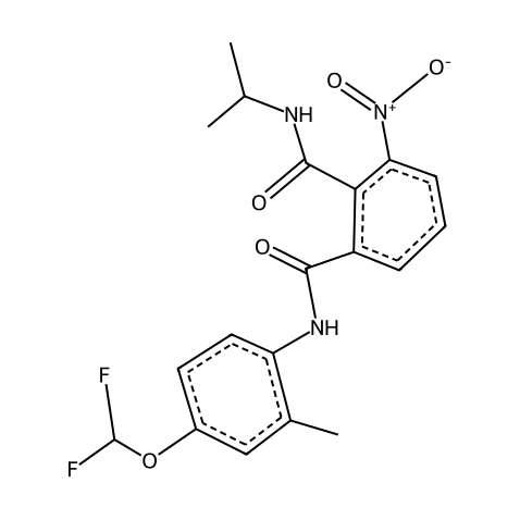 Cc1cc(OC(F)F)ccc1NC(=O)c1cccc([N+](=O)[O-])c1C(=O)NC(C)C